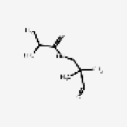 CC(C)C(=O)NCC(C)(C)[C]=O